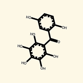 O=C(c1cc(O)ccc1O)c1c(O)c(O)c(O)c(O)c1O